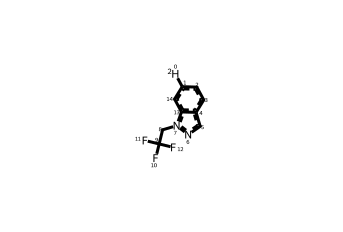 [2H]c1ccc2cnn(CC(F)(F)F)c2c1